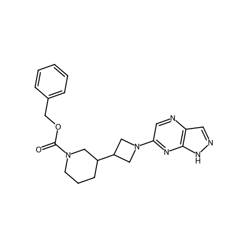 O=C(OCc1ccccc1)N1CCCC(C2CN(c3cnc4cn[nH]c4n3)C2)C1